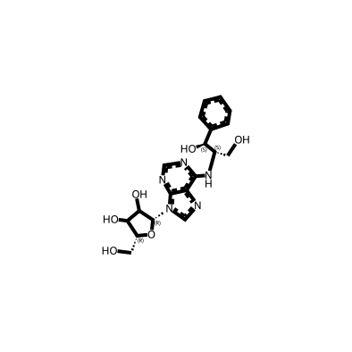 OC[C@H](Nc1ncnc2c1ncn2[C@@H]1O[C@H](CO)C(O)C1O)[C@@H](O)c1ccccc1